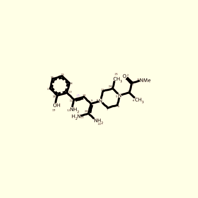 CNC(=O)C(C)N1CCN(C(/C=C(\N)c2ccccc2O)=C(N)N)CC1C